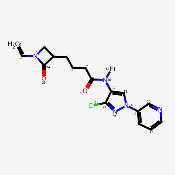 C=CN1CC(CCCC(=O)N(CC)c2cn(-c3cccnc3)nc2Cl)C1=O